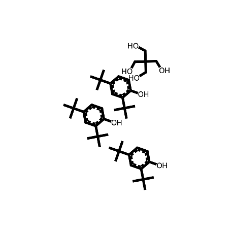 CC(C)(C)c1ccc(O)c(C(C)(C)C)c1.CC(C)(C)c1ccc(O)c(C(C)(C)C)c1.CC(C)(C)c1ccc(O)c(C(C)(C)C)c1.OCC(CO)(CO)CO